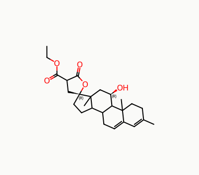 CCOC(=O)C1C[C@@]2(CCC3C4CC=C5C=C(C)CCC5(C)C4[C@H](O)CC32C)OC1=O